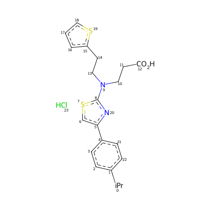 CC(C)c1ccc(-c2csc(N(CCC(=O)O)CCc3cccs3)n2)cc1.Cl